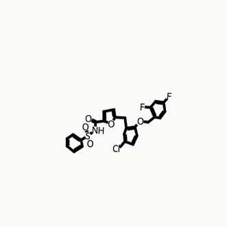 O=C(NS(=O)(=O)c1ccccc1)c1ccc(Cc2cc(Cl)ccc2OCc2ccc(F)cc2F)o1